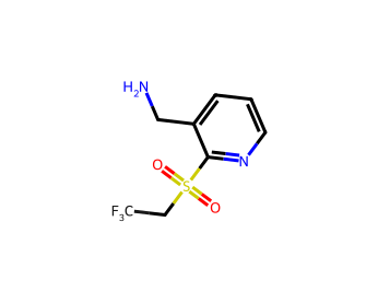 NCc1cccnc1S(=O)(=O)CC(F)(F)F